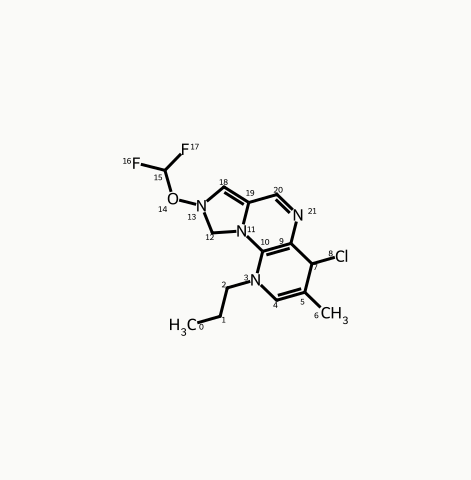 CCCN1C=C(C)C(Cl)C2=C1N1CN(OC(F)F)C=C1C=N2